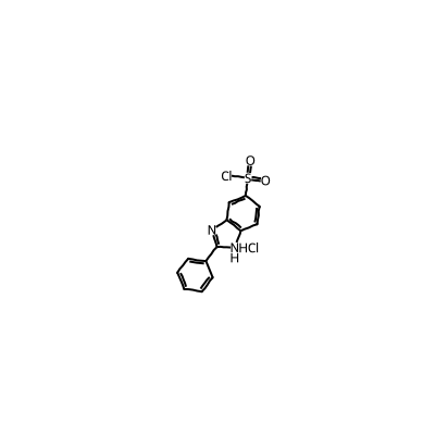 Cl.O=S(=O)(Cl)c1ccc2[nH]c(-c3ccccc3)nc2c1